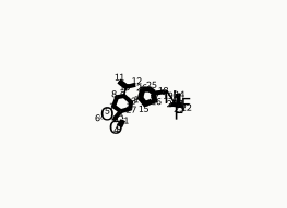 C=C[C@]1(C(=O)OC)CC[C@@H](C(=C)C)[C@H](c2ccc(CN3CC(F)(F)C3)cc2)C1